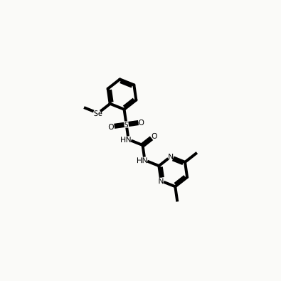 C[Se]c1ccccc1S(=O)(=O)NC(=O)Nc1nc(C)cc(C)n1